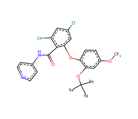 [2H]C([2H])([2H])Oc1cc(OC(F)(F)F)ccc1Oc1cc(Cl)cc(Cl)c1C(=O)Nc1ccncc1